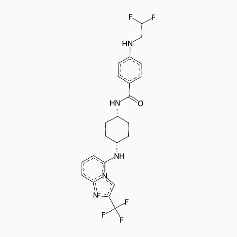 O=C(N[C@H]1CC[C@@H](Nc2cccc3nc(C(F)(F)F)cn23)CC1)c1ccc(NCC(F)F)cc1